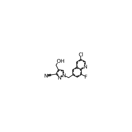 N#Cc1nn(Cc2cc(F)c3ncc(Cl)cc3c2)cc1CO